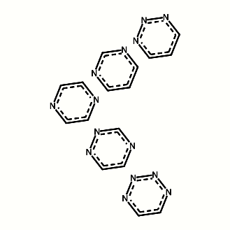 c1cnccn1.c1cncnc1.c1cnncn1.c1cnnnc1.c1cnnnn1